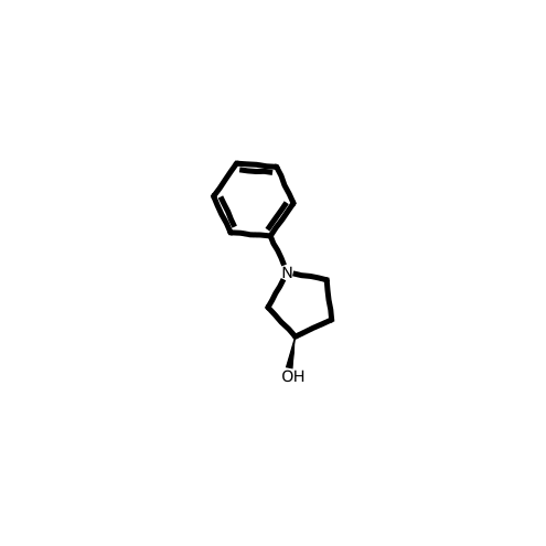 O[C@@H]1CCN(c2ccccc2)C1